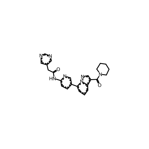 O=C(Cc1cncnc1)Nc1ccc(-c2cccc3c(C(=O)N4CCCCC4)cnn23)cn1